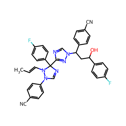 CC=CN1N(c2ccc(C#N)cc2)C=NC1(c1ccc(F)cc1)c1ncn(C(CC(O)c2ccc(F)cc2)c2ccc(C#N)cc2)n1